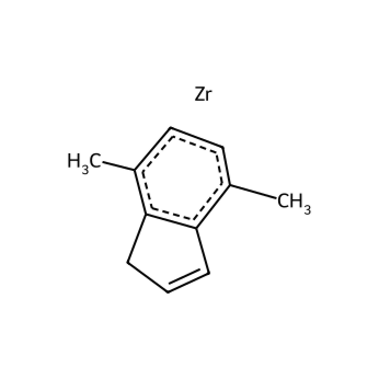 Cc1ccc(C)c2c1C=CC2.[Zr]